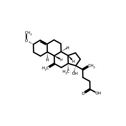 C=C1C[C@@]2(C)[C@@H](CC[C@@]2(O)C(=C)CCC(=O)O)[C@@H]2CCC3=C[C@@H](OC)CC[C@@H]3[C@@H]12